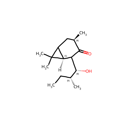 CC[C@@H](C)[C@@H](O)C1C(=O)[C@H](C)CC2[C@@H]1C2(C)C